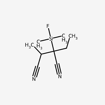 CCC(C#N)(C(C)C#N)[Si](C)(C)F